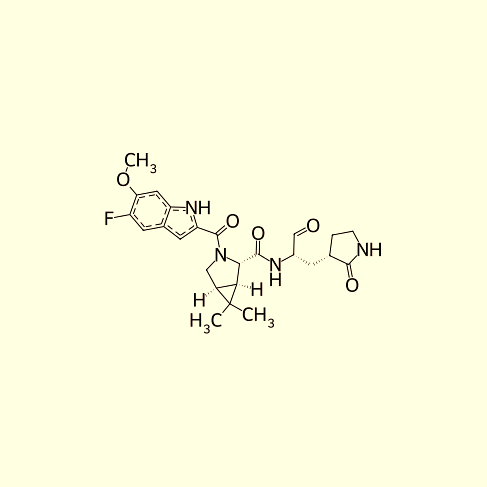 COc1cc2[nH]c(C(=O)N3C[C@H]4[C@@H]([C@H]3C(=O)N[C@H](C=O)C[C@@H]3CCNC3=O)C4(C)C)cc2cc1F